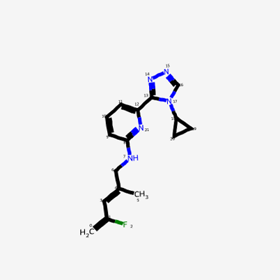 C=C(F)/C=C(\C)CNc1cccc(-c2nncn2C2CC2)n1